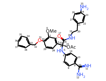 COc1cc([C@](Nc2ccc(C(=N)N)cc2)(OC(C)=O)C(=O)NCCc2ccc(N)cc2)ccc1OCc1ccccc1